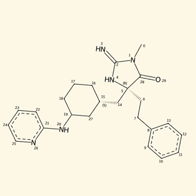 CN1C(=N)N[C@](CCc2ccccc2)(C[C@H]2CCCC(Nc3ccccn3)C2)C1=O